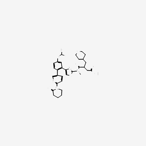 CN(C(=O)C(CC(=O)O)CC1CCOCC1)c1nc(-c2cc(OC(F)F)ccc2-c2ccc(N3CCCCC3=O)nc2)cs1